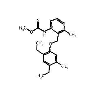 CCc1cc(CC)c(OCc2c(C)cccc2NC(=S)OC)cc1C